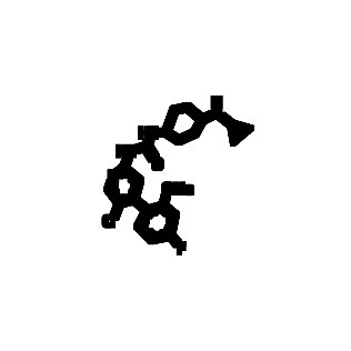 COc1cc(F)ccc1-c1cc(NC(=O)NC2CCC(NC3CC3)CC2)ncc1Cl